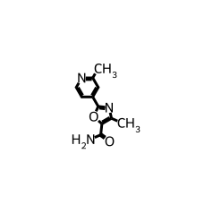 Cc1cc(-c2nc(C)c(C(N)=O)o2)ccn1